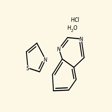 Cl.O.c1ccc2ncncc2c1.c1cscn1